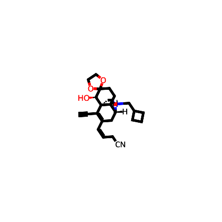 C#CC1=C(/C=C\CC#N)C[C@@H]2[C@@H]3CCC4(OCCO4)[C@H](O)[C@]13CCN2CC1CCC1